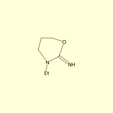 CCN1CCCOC1=N